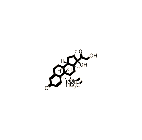 CC(=O)O.CC(=O)O.C[C@H]1C[C@H]2[C@@H]3CCC4=CC(=O)C=C[C@]4(C)[C@@]3(Cl)[C@@H](O)C[C@]2(C)[C@@]1(O)C(=O)CO